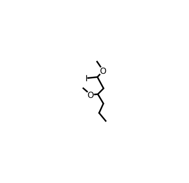 CCCC(CC(I)OC)OC